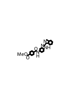 COC(=O)c1ccc(C(=O)Nc2ccc3[nH]c(C4N=Cc5ccccc54)nc3c2)cc1